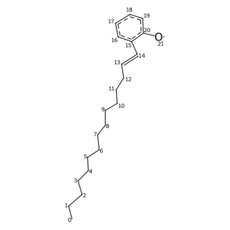 CCCCCCCCCCCCC/C=C/c1ccccc1[O]